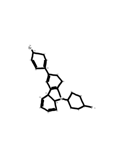 FC1CCC(N2C3=C(C=C(C4=CCC(Br)C=C4)CC3)C3C=CC=CC32)CC1